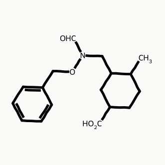 CC1CCC(C(=O)O)CC1CN(C=O)OCc1ccccc1